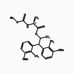 COc1cccc(C(c2cccc(OC)c2C)C(C)OC(=O)[C@H](C)NC(=O)OC(C)(C)C)c1C